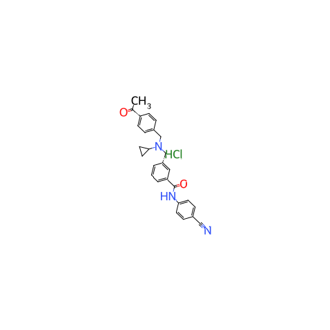 CC(=O)c1ccc(CN(Cc2cccc(C(=O)Nc3ccc(C#N)cc3)c2)C2CC2)cc1.Cl